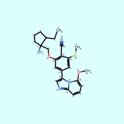 CCC1CCCC1(N)COc1cc(-c2cnc3cccc(OC)n23)cc(SC)c1C#N